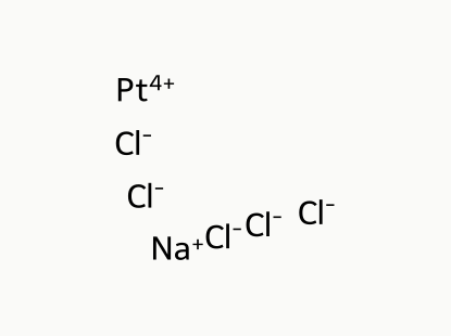 [Cl-].[Cl-].[Cl-].[Cl-].[Cl-].[Na+].[Pt+4]